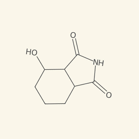 O=C1NC(=O)C2C(O)CCCC12